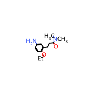 CCOc1ccc(N)cc1CCC(=O)N(C)C